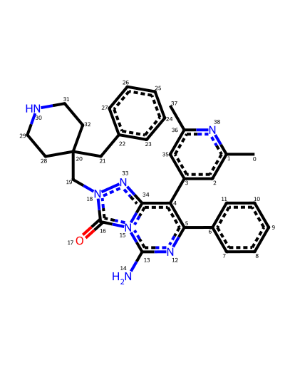 Cc1cc(-c2c(-c3ccccc3)nc(N)n3c(=O)n(CC4(Cc5ccccc5)CCNCC4)nc23)cc(C)n1